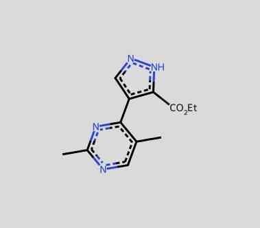 CCOC(=O)c1[nH]ncc1-c1nc(C)ncc1C